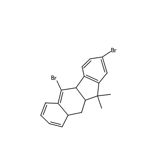 CC1(C)c2cc(Br)ccc2C2C(Br)=C3C=CC=CC3CC21